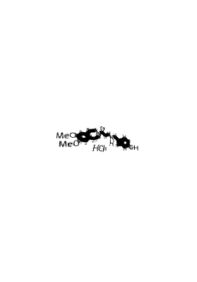 COc1cc2c(cc1OC)CCN(C(=O)CCNCC1Cc3cc(O)ccc31)CC2.Cl